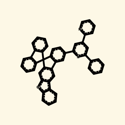 c1ccc(-c2cc(-c3ccccn3)cc(-c3ccc4c(c3)-c3cc5c(cc3C43c4ccccc4-c4ccccc43)oc3ccccc35)n2)cc1